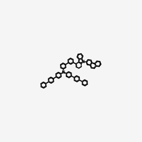 C1=C(c2cccc(-c3cccc(N(c4ccc(-c5ccc(-c6ccccc6)cc5)cc4)c4ccc(-c5ccc(-c6ccccc6)cc5)cc4)c3)c2)c2c(n(-c3ccc4c(ccc5ccccc54)c3)c3ccccc23)CC1